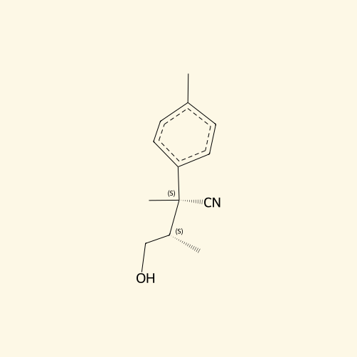 Cc1ccc([C@@](C)(C#N)[C@H](C)CO)cc1